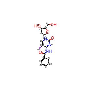 O=C(Nc1nc(=O)n([C@H]2CC(O)[C@@H](CO)O2)cc1I)c1ccccc1